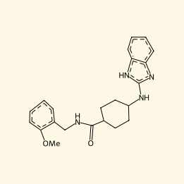 COc1ccccc1CNC(=O)C1CCC(Nc2nc3ccccc3[nH]2)CC1